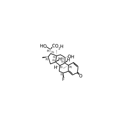 C[C@@H]1C[C@H]2[C@@H]3C[C@H](F)C4=CC(=O)C=C[C@]4(C)[C@H]3[C@@H](O)C[C@]2(C)[C@H]1[C@@H](O)C(=O)O